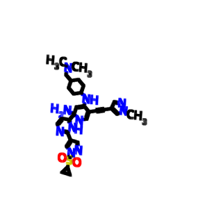 CN(C)CC1CCC(NC2=CC(N)(c3ccnc(-c4cnn(S(=O)(=O)C5CC5)c4)n3)NC=C2C#Cc2cnn(C)c2)CC1